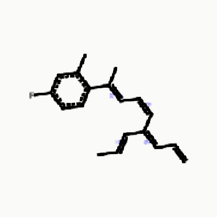 C=C/C=C(\C=C/C=C(\C)c1ccc(F)cc1C)/C=C/C